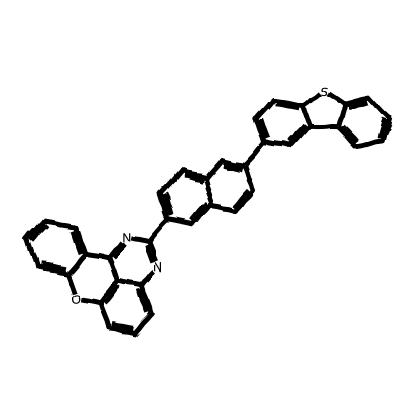 c1ccc2c(c1)Oc1cccc3nc(-c4ccc5cc(-c6ccc7sc8ccccc8c7c6)ccc5c4)nc-2c13